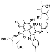 CCOc1c(C)c(O)c2c(O)c(NC(=O)/C(C)=C\C=C\[C@H](C)[C@H](O)[C@@H](C)[C@H](C)O)c3c(nc4cc(C)ccn43)c2c1C(=O)O/C=C/[C@H](OC)[C@@H](C)[C@H](C)OC(C)=O